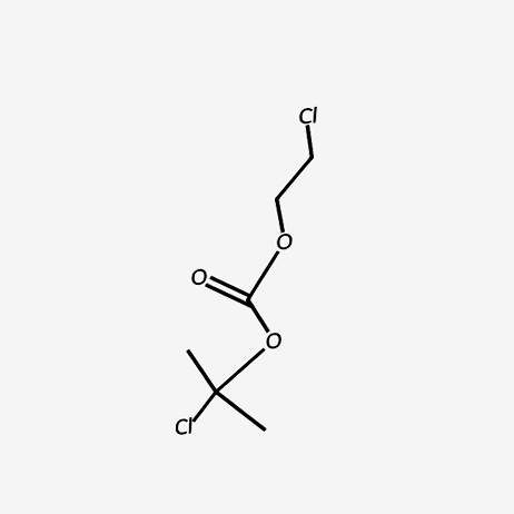 CC(C)(Cl)OC(=O)OCCCl